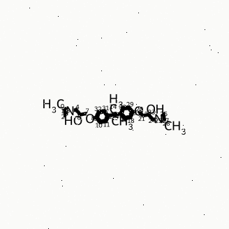 CC1CN1CC(O)COc1ccc(C(C)(C)c2ccc(OCC(O)CN3CC3C)cc2)cc1